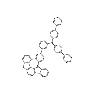 c1ccc(-c2ccc(N(c3ccc(-c4ccccc4)cc3)c3cccc(-c4ccc5c(c4)-c4cccc6c4-c4c(ccc7c8ccccc8n-5c47)C6)c3)cc2)cc1